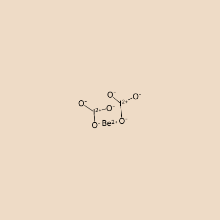 [Be+2].[O-][I+2]([O-])[O-].[O-][I+2]([O-])[O-]